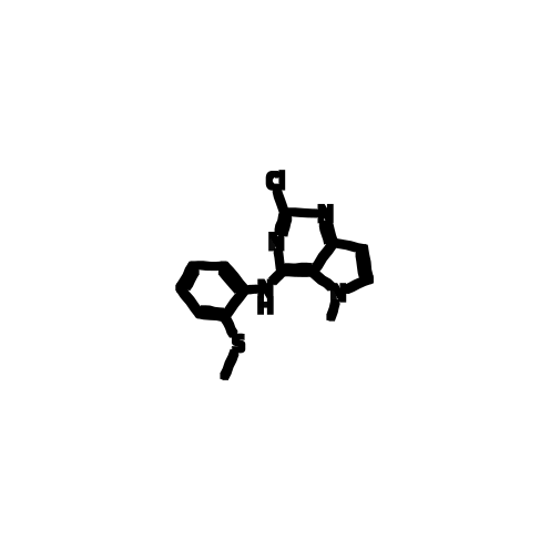 CSc1ccccc1Nc1nc(Cl)nc2ccn(C)c12